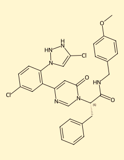 COc1ccc(CNC(=O)[C@H](Cc2ccccc2)n2cnc(-c3cc(Cl)ccc3N3C=C(Cl)NN3)cc2=O)cc1